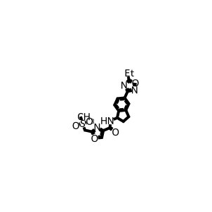 CCc1nc(-c2ccc3c(c2)CCC3NC(=O)c2coc(CS(C)(=O)=O)n2)no1